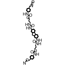 N#COCc1ccc(NC(=O)OCCCNC(=O)Nc2ccc3c(c2)Cc2cc(NC(=O)NCCCOC(=O)Nc4ccc(CN=C=O)cc4)ccc2-3)cc1